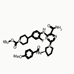 COc1ccc(C(=O)N[C@@H]2CCCN(c3cnc(C(N)=O)c(Nc4ccc(C5CCN(C(=O)OC(C)(C)C)CC5)cc4F)n3)C2)cc1